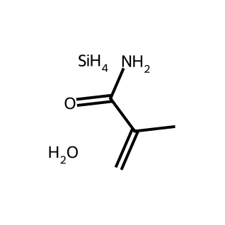 C=C(C)C(N)=O.O.[SiH4]